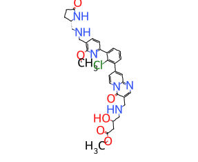 COC(=O)CC(O)CNCc1cnc2cc(-c3cccc(-c4ccc(CNC[C@@H]5CCC(=O)N5)c(OC)n4)c3Cl)ccn2c1=O